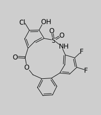 O=C1OCc2ccccc2-c2cc(F)c(F)c(c2)NS(=O)(=O)c2cc1cc(Cl)c2O